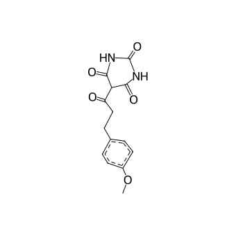 COc1ccc(CCC(=O)C2C(=O)NC(=O)NC2=O)cc1